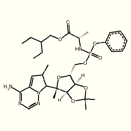 CCC(CC)COC(=O)[C@H](C)NP(=O)(OC[C@H]1O[C@@](C)(C2C(C)C=C3C(N)=NC=NN32)[C@@H]2OC(C)(C)O[C@@H]21)Oc1ccccc1